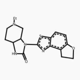 CCN1CCC2NC(=O)N(c3nc4c5c(ccc4s3)OCC5)C2C1